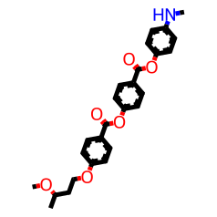 CNc1ccc(OC(=O)c2ccc(OC(=O)c3ccc(OCCC(C)OC)cc3)cc2)cc1